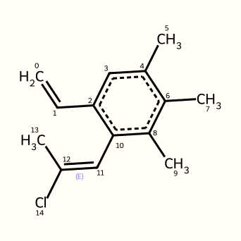 C=Cc1cc(C)c(C)c(C)c1/C=C(\C)Cl